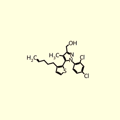 C=CCCCc1ccsc1-c1c(C)c(CO)nn1-c1ccc(Cl)cc1Cl